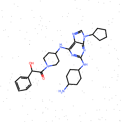 NC1CCC(Nc2nc(NC3CCN(C(=O)C(O)c4ccccc4)CC3)c3ncn(C4CCCC4)c3n2)CC1